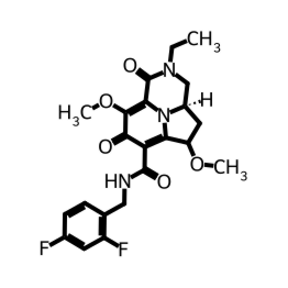 CCN1C[C@H]2CC(OC)c3c(C(=O)NCc4ccc(F)cc4F)c(=O)c(OC)c(n32)C1=O